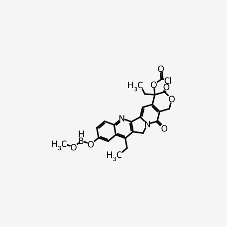 CCc1c2c(nc3ccc(OBOC)cc13)-c1cc3c(c(=O)n1C2)COC(=O)C3(CC)OC(=O)Cl